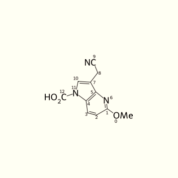 COc1ccc2c(n1)c(CC#N)cn2C(=O)O